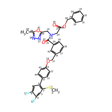 CSc1cc(F)c(F)cc1-c1ccc(OCc2cccc(C(=O)N(CC(=O)OCc3ccccc3)Cc3nnc(C)o3)c2)cc1